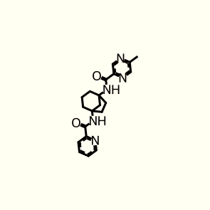 Cc1cnc(C(=O)NC23CCCC(NC(=O)c4ccccn4)(CC2)C3)cn1